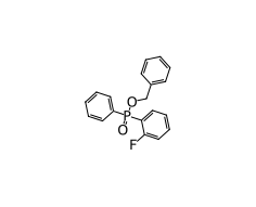 O=P(OCc1ccccc1)(c1ccccc1)c1ccccc1F